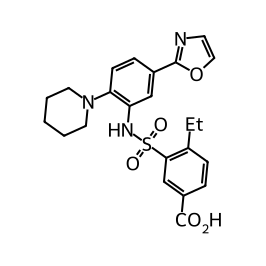 CCc1ccc(C(=O)O)cc1S(=O)(=O)Nc1cc(-c2ncco2)ccc1N1CCCCC1